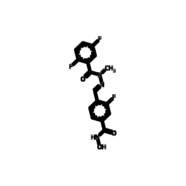 CN(/N=C/c1ccc(C(=O)NO)cc1F)C(=O)c1cc(F)ccc1F